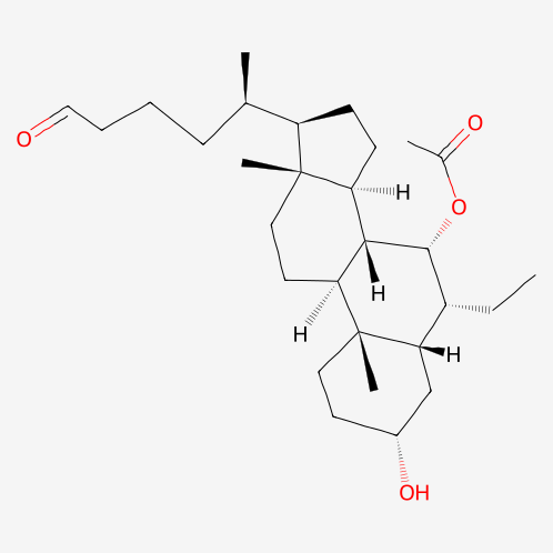 CC[C@H]1[C@@H](OC(C)=O)[C@@H]2[C@H](CC[C@]3(C)[C@@H]([C@H](C)CCCC=O)CC[C@@H]23)[C@@]2(C)CC[C@@H](O)C[C@@H]12